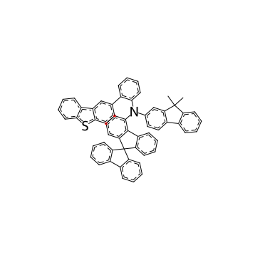 CC1(C)c2ccccc2-c2ccc(N(c3ccccc3-c3ccc4sc5ccccc5c4c3)c3cccc4c3-c3ccccc3C43c4ccccc4-c4ccccc43)cc21